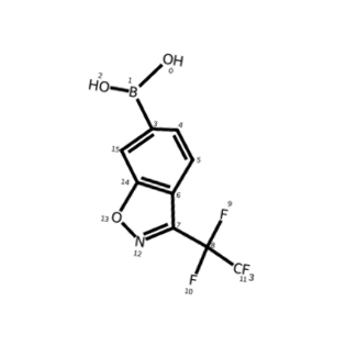 OB(O)c1ccc2c(C(F)(F)C(F)(F)F)noc2c1